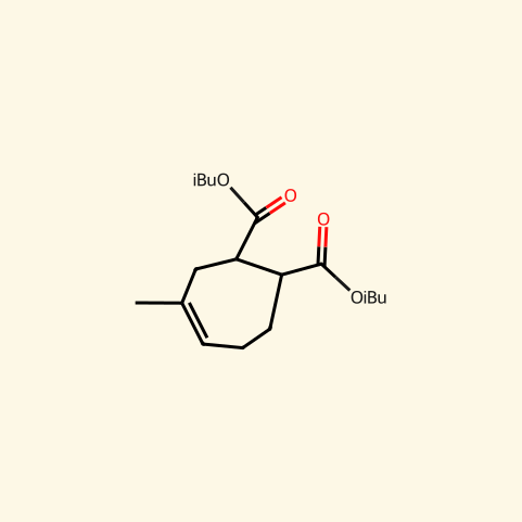 CC1=CCCC(C(=O)OCC(C)C)C(C(=O)OCC(C)C)C1